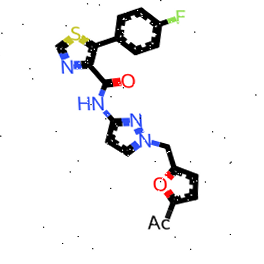 CC(=O)c1ccc(Cn2ccc(NC(=O)c3ncsc3-c3ccc(F)cc3)n2)o1